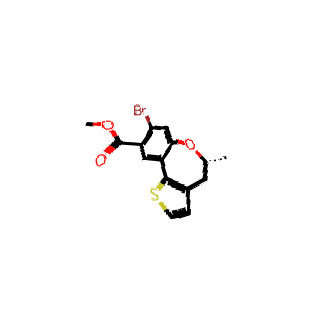 COC(=O)c1cc2c(cc1Br)O[C@H](C)Cc1ccsc1-2